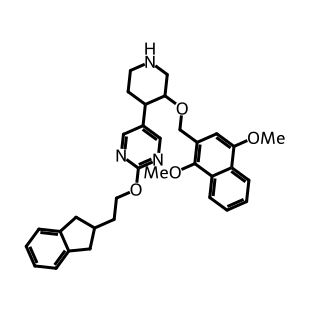 COc1cc(COC2CNCCC2c2cnc(OCCC3Cc4ccccc4C3)nc2)c(OC)c2ccccc12